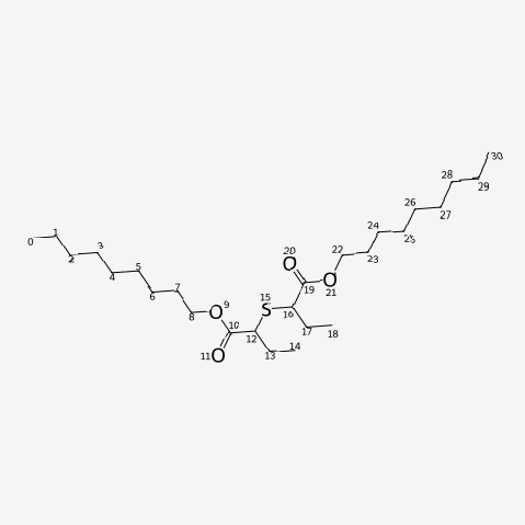 CCCCCCCCCOC(=O)C(CC)SC(CC)C(=O)OCCCCCCCCC